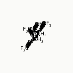 Cc1cc(CSCCC(F)(F)C(F)(F)C(F)(F)C(F)(F)C(F)(F)C(F)(F)C(F)(F)C(F)(F)F)cc(CSCCC(F)(F)C(F)(F)C(F)(F)C(F)(F)C(F)(F)C(F)(F)C(F)(F)C(F)(F)F)c1OC(=O)c1ccc(C(=O)Oc2c(C)cc(CSCCC(F)(F)C(F)(F)C(F)(F)C(F)(F)C(F)(F)C(F)(F)C(F)(F)C(F)(F)F)cc2CSCCC(F)(F)C(F)(F)C(F)(F)C(F)(F)C(F)(F)C(F)(F)C(F)(F)C(F)(F)F)cc1